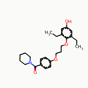 CCc1cc(O)cc(CC)c1OCCCOc1ccc(C(=O)N2CCCCC2)cc1